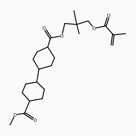 C=C(C)C(=O)OCC(C)(C)COC(=O)C1CCC(C2CCC(C(=O)OC)CC2)CC1